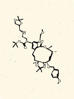 COCOc1cc(N(CCNCC2COC(C)(C)O2)C(=O)OC(C)(C)C)cc2c1C(=O)O[C@@H](C)[C@H](C)/C=C\[C@@H](OCc1ccc(OC)cc1)[C@H]1OC(C)(C)O[C@H]1C/C=C/2